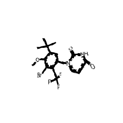 COc1c(C(C)(C)C)cc(-n2ccc(=O)[nH]c2=O)c(C(F)(F)F)c1Br